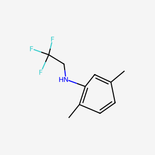 Cc1ccc(C)c(NCC(F)(F)F)c1